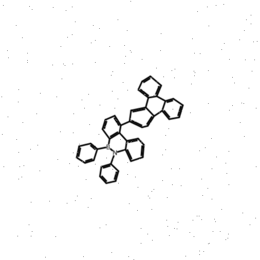 c1ccc(B2c3cccc(-c4ccc5c6ccccc6c6ccccc6c5c4)c3-c3ccccc3N2c2ccccc2)cc1